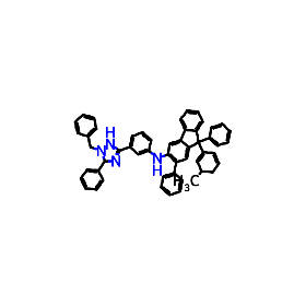 CC1C=C(C2(c3ccccc3)c3ccccc3-c3cc(Nc4cccc(C5=NC(c6ccccc6)N(Cc6ccccc6)N5)c4)c(-c4ccccc4)cc32)C=CC1